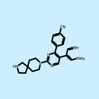 CN/C=C(\C=N)c1cnc(N2CCC3(CCNC3)CC2)nc1-c1ccc(C#N)cc1